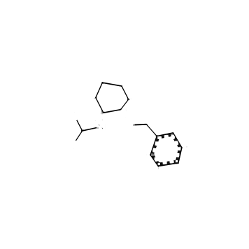 CC(C)N[C@@H]1CCCC[C@@H]1OCc1ccccc1